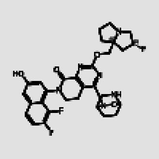 O=C1c2nc(OC[C@@]34CCCN3C[C@H](F)C4)nc(N3CC4CCC3CN4)c2CCN1c1cc(O)cc2ccc(F)c(F)c12